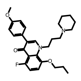 CCCOc1ccc(F)c2c(=O)c(-c3ccc(OC)cc3)cn(CCCN3CCCCC3)c12